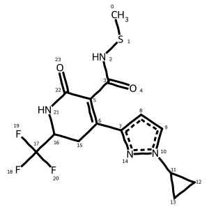 CSNC(=O)C1=C(c2ccn(C3CC3)n2)CC(C(F)(F)F)NC1=O